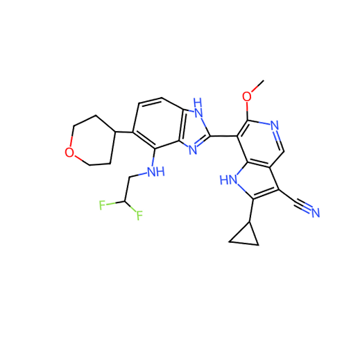 COc1ncc2c(C#N)c(C3CC3)[nH]c2c1-c1nc2c(NCC(F)F)c(C3CCOCC3)ccc2[nH]1